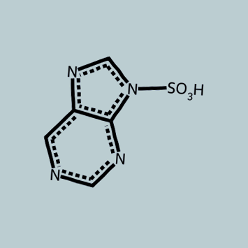 O=S(=O)(O)n1cnc2cncnc21